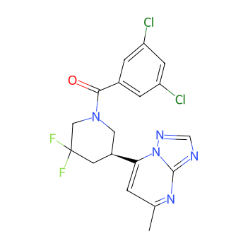 Cc1cc([C@@H]2CN(C(=O)c3cc(Cl)cc(Cl)c3)CC(F)(F)C2)n2ncnc2n1